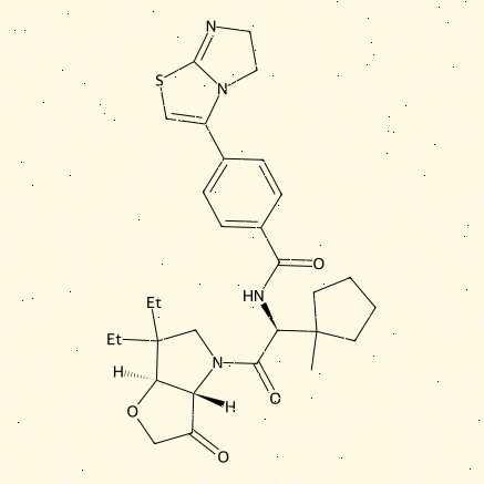 CCC1(CC)CN(C(=O)[C@@H](NC(=O)c2ccc(C3=CSC4=NCCN34)cc2)C2(C)CCCC2)[C@@H]2C(=O)CO[C@H]21